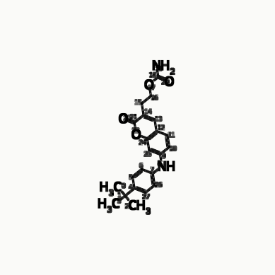 CC(C)(C)c1ccc(Nc2ccc3cc(CCOC(N)=O)c(=O)oc3c2)cc1